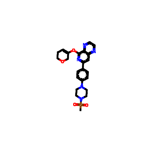 CS(=O)(=O)N1CCN(c2ccc(-c3cc4nccnc4c(OC4=CCCOC4)n3)cc2)CC1